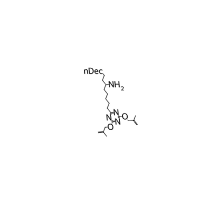 C=C(C)COc1nc(CCCCCC(N)CCCCCCCCCCCC)nc(OCC(=C)C)n1